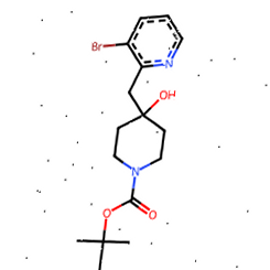 CC(C)(C)OC(=O)N1CCC(O)(Cc2ncccc2Br)CC1